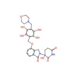 O=C1CCC(O)(N2Cc3c(OCc4c(O)c(O)c(CN5CCOCC5)c(O)c4O)cccc3C2=O)C(=O)N1